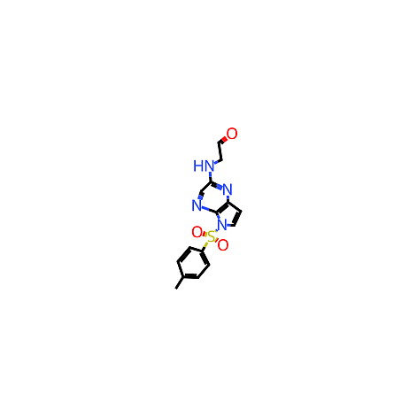 Cc1ccc(S(=O)(=O)n2ccc3nc(NCC=O)cnc32)cc1